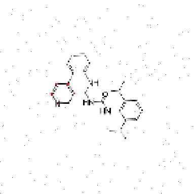 CC(C)c1cccc(C(C)C)c1NC(=O)NC(Nc1ccccc1-c1ccncc1)C1CCCCC1